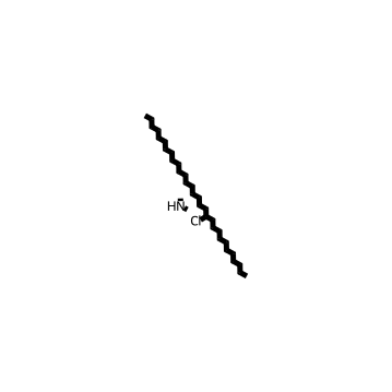 CCCCCCCCCCCCCCCCCCC(Cl)CCCCCCCCCCC.CNC